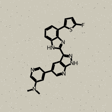 CN(C)c1cncc(-c2cnc3[nH]nc(-c4nc5c(-c6ccc(F)s6)cccc5[nH]4)c3c2)c1